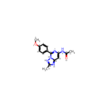 COc1ccc(-c2nc(NC(C)=O)cc3nc(C)nn23)cc1